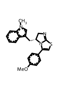 COc1ccc(C2=CSC3=NC[C@@H](Cc4cn(C)c5ccccc45)N23)cc1